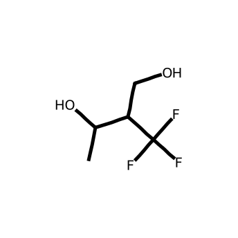 CC(O)C(CO)C(F)(F)F